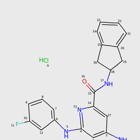 Cl.Nc1cc(Nc2cccc(F)c2)nc(C(=O)NC2Cc3ccccc3C2)c1